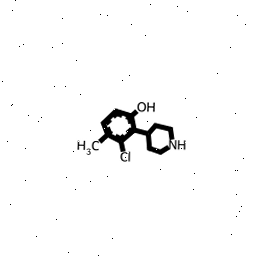 Cc1ccc(O)c(C2CCNCC2)c1Cl